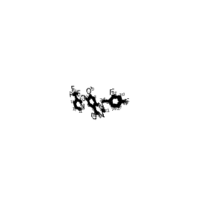 COc1cc2c(cc1Oc1ncccc1C(F)(F)F)c(=O)ncn2Cc1ccc(F)cc1F